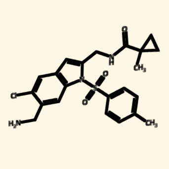 Cc1ccc(S(=O)(=O)n2c(CNC(=O)C3(C)CC3)cc3cc(Cl)c(CN)cc32)cc1